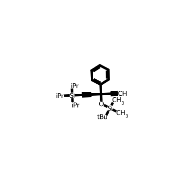 C#CC(C#C[Si](C(C)C)(C(C)C)C(C)C)(O[Si](C)(C)C(C)(C)C)c1ccccc1